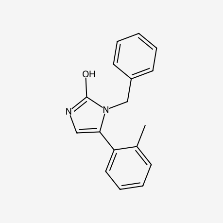 Cc1ccccc1-c1cnc(O)n1Cc1ccccc1